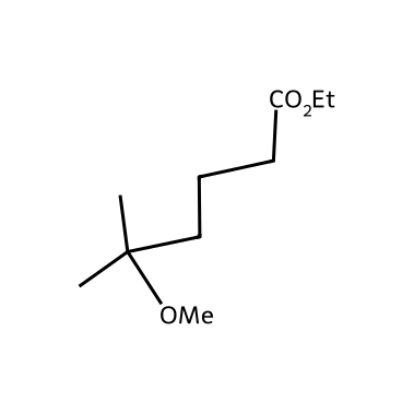 CCOC(=O)CCCC(C)(C)OC